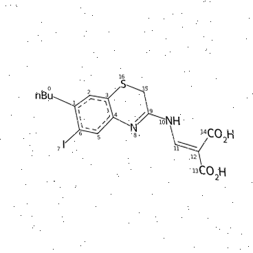 CCCCc1cc2c(cc1I)N=C(NC=C(C(=O)O)C(=O)O)CS2